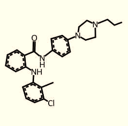 CCCN1CCN(c2ccc(NC(=O)c3ccccc3Nc3cccc(Cl)c3C)cc2)CC1